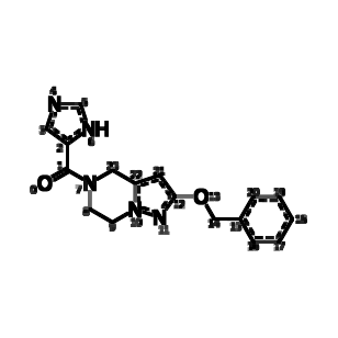 O=C(c1cnc[nH]1)N1CCn2nc(OCc3ccccc3)cc2C1